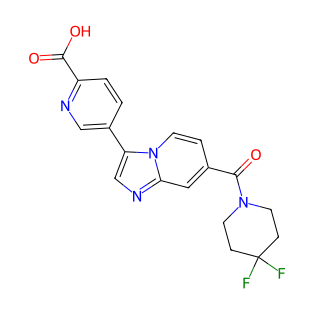 O=C(O)c1ccc(-c2cnc3cc(C(=O)N4CCC(F)(F)CC4)ccn23)cn1